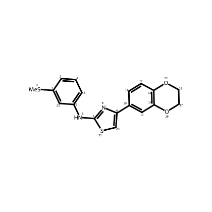 CSc1cccc(Nc2nc(-c3ccc4c(c3)OCCO4)cs2)c1